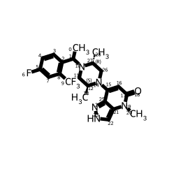 CC(c1ccc(F)cc1C(F)(F)F)N1C[C@H](C)N(c2cc(=O)n(C)c3c[nH]nc23)C[C@H]1C